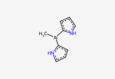 [CH3][Al]([c]1ccc[nH]1)[c]1ccc[nH]1